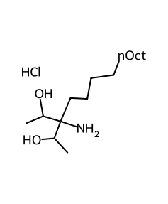 CCCCCCCCCCCCC(N)(C(C)O)C(C)O.Cl